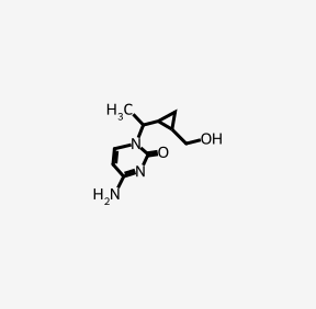 CC(C1CC1CO)n1ccc(N)nc1=O